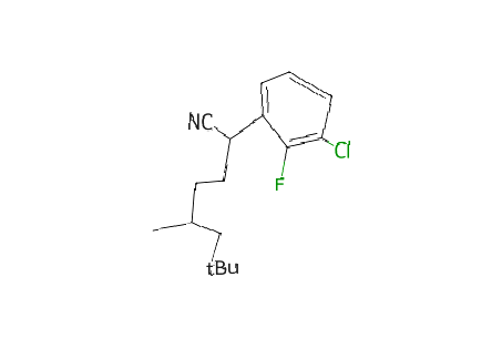 CC(CCC(C#N)c1cccc(Cl)c1F)CC(C)(C)C